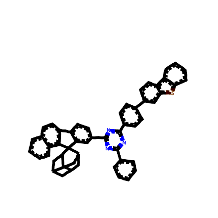 c1ccc(-c2nc(-c3ccc(-c4ccc5c(c4)sc4ccccc45)cc3)nc(-c3ccc4c(c3)C3(c5c-4ccc4ccccc54)C4CC5CC(C4)CC3C5)n2)cc1